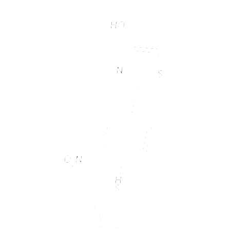 O=[N+]([O-])c1cc(-c2nc(O)cs2)ccc1[SH]1C=CC=C1